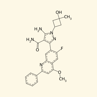 COc1cc(-c2ccccc2)nc2cc(-c3nn(C4CC(C)(O)C4)c(N)c3C(N)=O)c(F)cc12